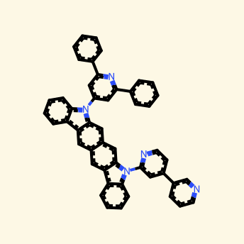 c1ccc(-c2cc(-n3c4ccccc4c4cc5cc6c7ccccc7n(-c7cc(-c8cccnc8)ccn7)c6cc5cc43)cc(-c3ccccc3)n2)cc1